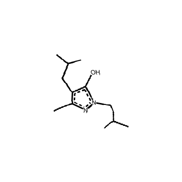 Cc1nn(CC(C)C)c(O)c1CC(C)C